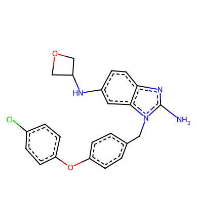 Nc1nc2ccc(NC3COC3)cc2n1Cc1ccc(Oc2ccc(Cl)cc2)cc1